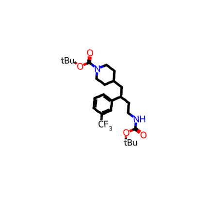 CC(C)(C)OC(=O)NCCC(CC1CCN(C(=O)OC(C)(C)C)CC1)c1cccc(C(F)(F)F)c1